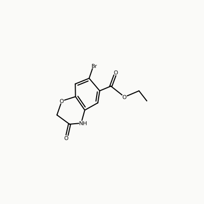 CCOC(=O)c1cc2c(cc1Br)OCC(=O)N2